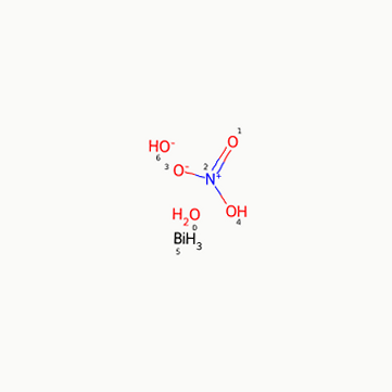 O.O=[N+]([O-])O.[BiH3].[OH-]